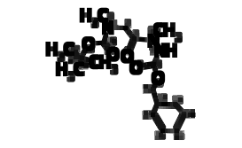 CN(CC(=O)N(C)NC(=O)OCc1ccccc1)C(=O)OC(C)(C)C